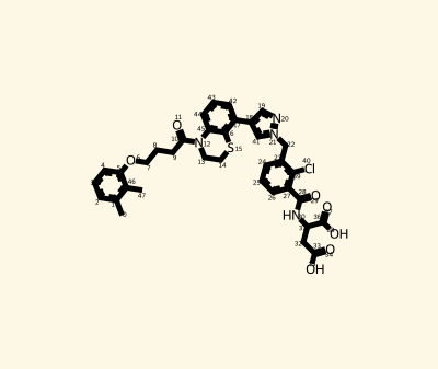 Cc1cccc(OCCCC(=O)N2CCSc3c(-c4cnn(Cc5cccc(C(=O)NC(CC(=O)O)C(=O)O)c5Cl)c4)cccc32)c1C